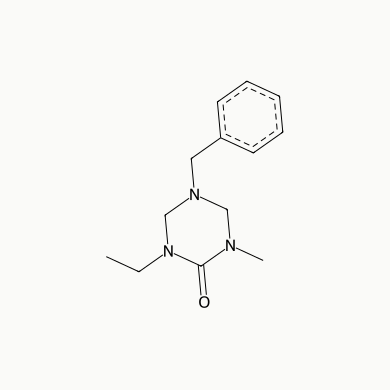 CCN1CN(Cc2ccccc2)CN(C)C1=O